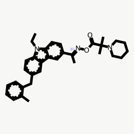 CCn1c2ccc(Cc3ccccc3C)cc2c2cc(/C(C)=N/OC(=O)C(C)(C)N3CCCCC3)ccc21